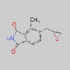 Cc1c(CC2CO2)ccc2c1C(=O)NC2=O